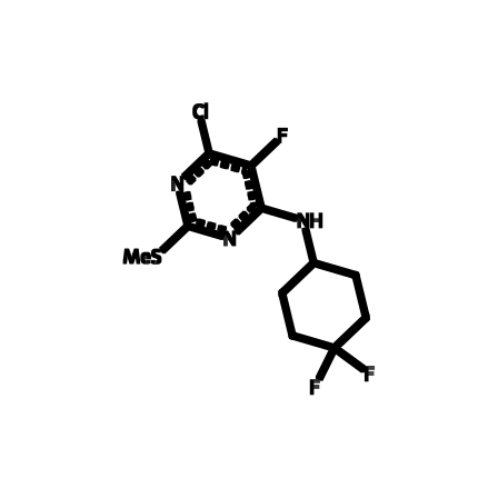 CSc1nc(Cl)c(F)c(NC2CCC(F)(F)CC2)n1